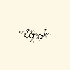 CCN(C)/C=N\c1cc(C)c(Oc2cccc(S(C)(=O)=NC#N)c2)cc1C